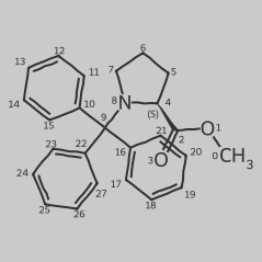 COC(=O)[C@@H]1CCCN1C(c1ccccc1)(c1ccccc1)c1ccccc1